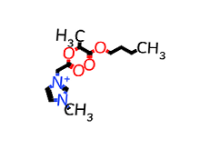 CCCCOC(=O)C(C)OC(=O)C[n+]1ccn(C)c1